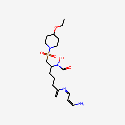 C=C(CCCC(CS(=O)(=O)N1CCC(OCC)CC1)N(O)C=O)/N=C\C=C/N